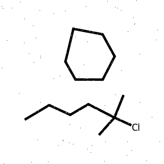 C1CCCCC1.CCCCC(C)(C)Cl